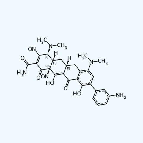 CN(C)c1cc(-c2cccc(N)c2)c(O)c2c1C[C@H]1C[C@H]3[C@H](N(C)C)C(N=O)=C(C(N)=O)C(=O)[C@@]3(N=O)C(O)=C1C2=O